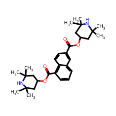 CC1(C)CC(OC(=O)c2ccc3c(C(=O)OC4CC(C)(C)NC(C)(C)C4)cccc3c2)CC(C)(C)N1